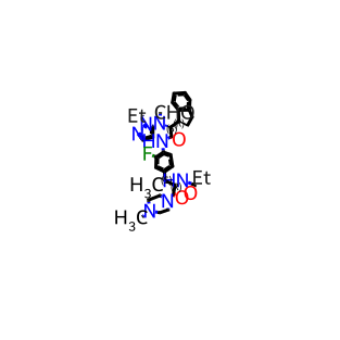 CCC(=O)N[C@@H](C(=O)N1CCN(C)CC1)[C@@H](C)c1ccc(NC(=O)[C@H]([C@@H]2CCc3ccccc32)N(C=O)c2ccnn2CC)c(F)c1